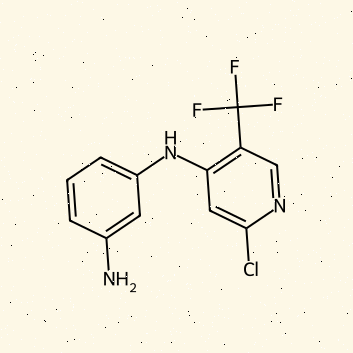 Nc1cccc(Nc2cc(Cl)ncc2C(F)(F)F)c1